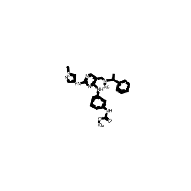 CC(=O)N(Cc1cnc(Nc2cnn(C)c2)nc1Nc1cccc(NC(=O)OC(C)(C)C)c1)C(C)c1ccccc1